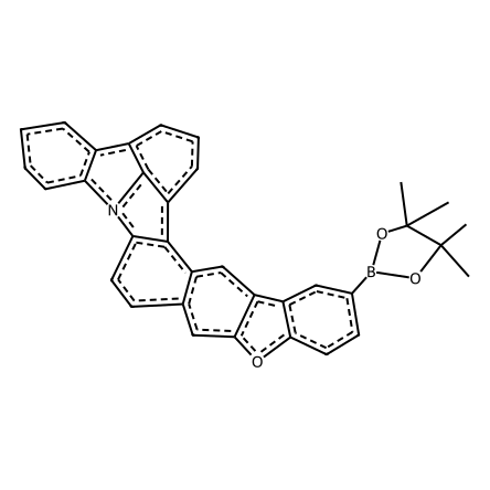 CC1(C)OB(c2ccc3oc4cc5ccc6c(c5cc4c3c2)c2cccc3c4ccccc4n6c32)OC1(C)C